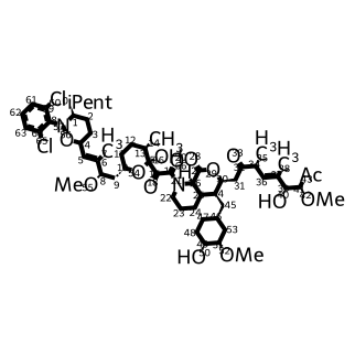 CCC[C@H](C)C1CCC(/C=C(\C)[C@H](C[C@@H]2CC[C@@H](C)[C@](O)(C(=O)C(=O)N3CCCC4[C@H]3C(=O)O[C@@H](CC(=O)[C@H](C)/C=C(\C)[C@@H](O)[C@@H](OC)C(C)=O)[C@H]4C[C@@H]3CC[C@@H](O)[C@H](OC)C3)O2)OC)ON1c1c(Cl)cccc1Cl